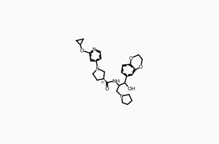 O=C(NC(CN1CCCC1)C(O)c1ccc2c(c1)OCCO2)[C@H]1CCN(c2ccnc(OC3CC3)c2)C1